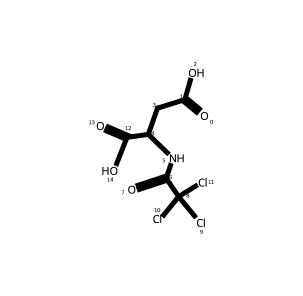 O=C(O)CC(NC(=O)C(Cl)(Cl)Cl)C(=O)O